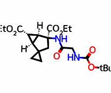 CCOC(=O)[C@H]1[C@H]2[C@@H]1[C@](NC(=O)CNC(=O)OC(C)(C)C)(C(=O)OCC)CC21CC1